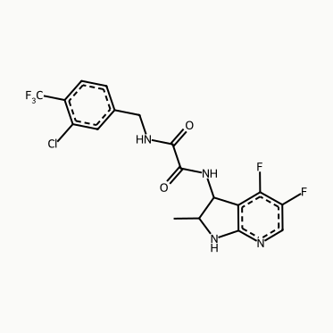 CC1Nc2ncc(F)c(F)c2C1NC(=O)C(=O)NCc1ccc(C(F)(F)F)c(Cl)c1